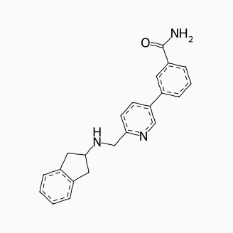 NC(=O)c1cccc(-c2ccc(CNC3Cc4ccccc4C3)nc2)c1